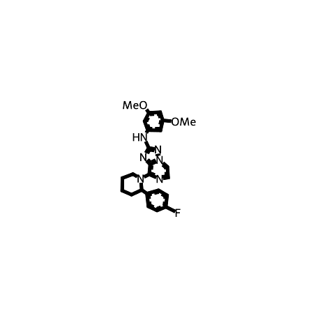 COc1cc(Nc2nc3c(N4CCCCC4c4ccc(F)cc4)nccn3n2)cc(OC)c1